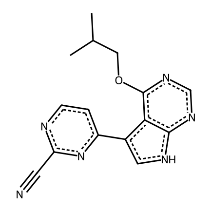 CC(C)COc1ncnc2[nH]cc(-c3ccnc(C#N)n3)c12